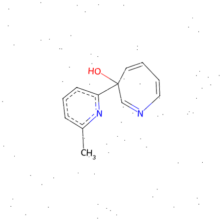 Cc1cccc(C2(O)C=CC=CN=C2)n1